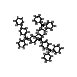 c1ccc(-c2ccc(N(c3ccccc3)c3ccc4c(c3)c3cc5c(cc3n4-c3ccc(N(c4ccccc4)c4ccccc4)cc3)c3ccccc3n5-c3ccccc3)cc2)cc1